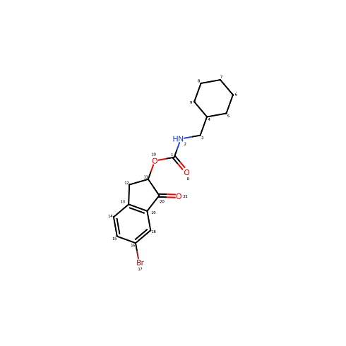 O=C(NCC1CCCCC1)OC1Cc2ccc(Br)cc2C1=O